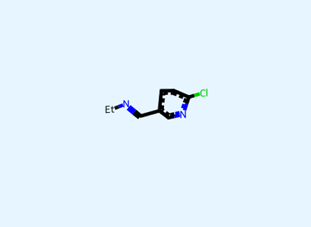 CCN=Cc1ccc(Cl)nc1